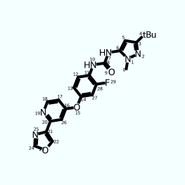 Cn1nc(C(C)(C)C)cc1NC(=O)Nc1ccc(Oc2ccnc(-c3cocn3)c2)cc1F